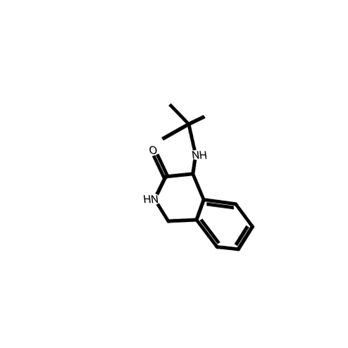 CC(C)(C)NC1C(=O)NCc2ccccc21